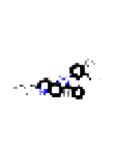 Cc1cc(N2N=C3c4ccc(C(=O)O)nc4CC[C@@H]3C2C2CCCC2)ccc1C#N